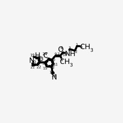 CCCCNC(=O)/C(C)=C/c1cc(C#N)cc(-c2ccncc2)c1C